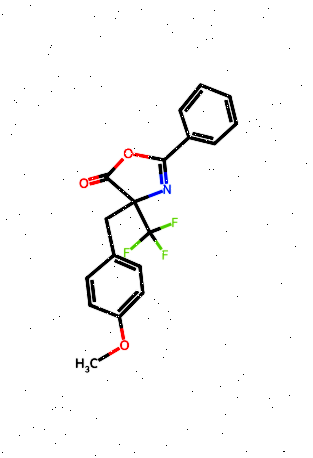 COc1ccc(CC2(C(F)(F)F)N=C(c3ccccc3)OC2=O)cc1